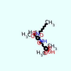 CCCCCCCCCC(=O)N(C)c1cc(NC(=O)/C=C/c2cc(OC)c(O)c(OC)c2)ccc1C(=O)OCC